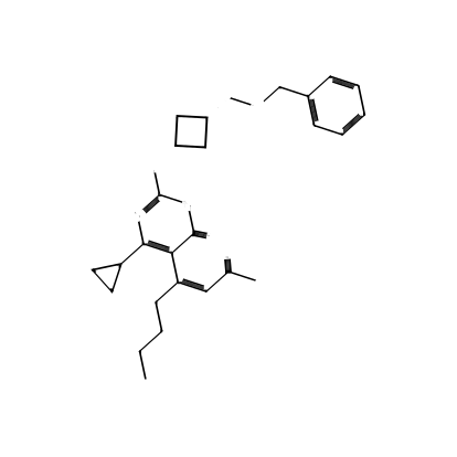 CCCC/C(=C/C(C)=O)c1c(C2CC2)nc(O[C@H]2C[C@@H](COCc3ccccc3)C2)[nH]c1=O